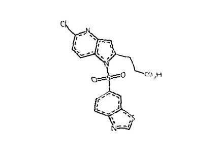 O=C(O)CCc1cc2nc(Cl)ccc2n1S(=O)(=O)c1ccc2ncsc2c1